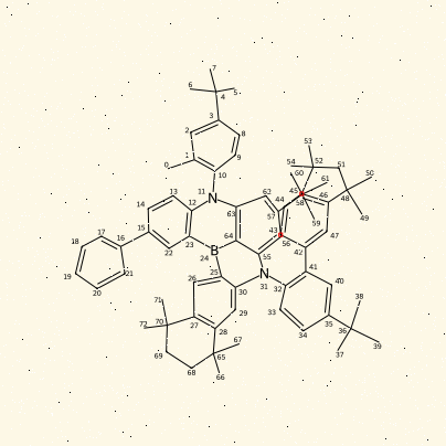 Cc1cc(C(C)(C)C)ccc1N1c2ccc(-c3ccccc3)cc2B2c3cc4c(cc3N(c3ccc(C(C)(C)C)cc3-c3ccc5c(c3)C(C)(C)CC5(C)C)c3cc(C(C)(C)C)cc1c32)C(C)(C)CCC4(C)C